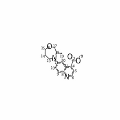 COC(=O)c1ccnc2ccc(N3CCCOC[C@H]3C)cc12